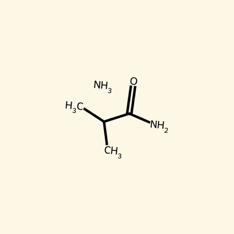 CC(C)C(N)=O.N